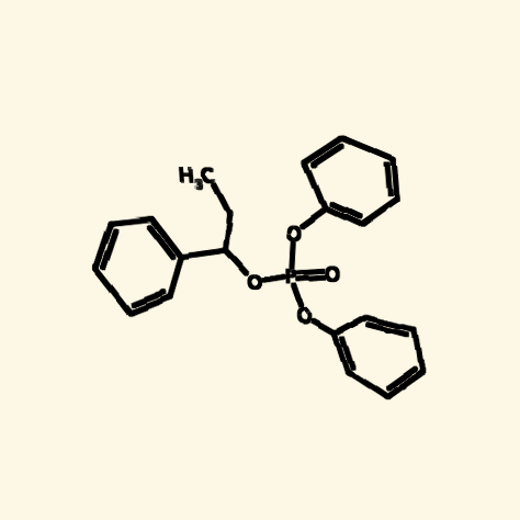 CCC(OP(=O)(Oc1ccccc1)Oc1ccccc1)c1ccccc1